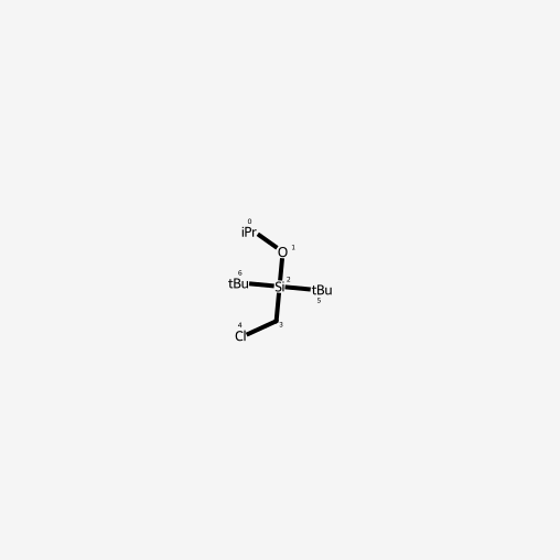 CC(C)O[Si](CCl)(C(C)(C)C)C(C)(C)C